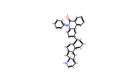 O=c1c2ccccc2c2cc(-c3cccc4c3ccc3cc5ncccc5cc34)ccc2n1-c1ccccc1